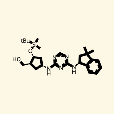 CC1(C)C[C@H](Nc2ncnc(N[C@@H]3C[C@@H](CO)[C@H](O[Si](C)(C)C(C)(C)C)C3)n2)c2ccccc21